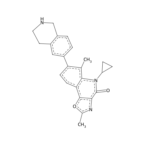 Cc1nc2c(=O)n(C3CC3)c3c(C)c(-c4ccc5c(c4)CCNC5)ccc3c2o1